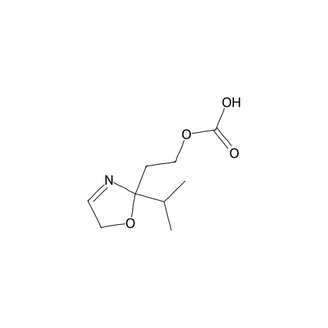 CC(C)C1(CCOC(=O)O)N=CCO1